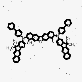 CC1=c2cc3oc4cc5c(C)c(N(c6ccc(-c7ccccc7)cc6)c6ccc7c(c6)C(C)(C)c6cc8ccccc8cc6-7)ccc5cc4c3cc2=CCC1N(c1ccc(-c2ccccc2)cc1)c1ccc2c(c1)C(C)(C)c1cc3ccccc3cc1-2